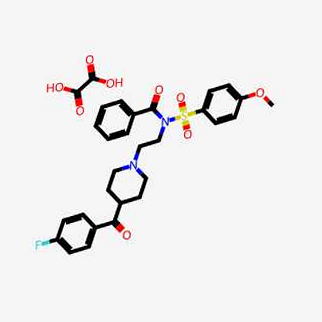 COc1ccc(S(=O)(=O)N(CCN2CCC(C(=O)c3ccc(F)cc3)CC2)C(=O)c2ccccc2)cc1.O=C(O)C(=O)O